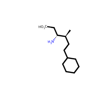 C[C@@H](CCC1CCCCC1)[C@H](N)CC(=O)O